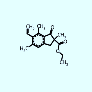 C=Cc1c(C)cc2c(c1C)C(=O)C(C)(C(=O)OCC)C2